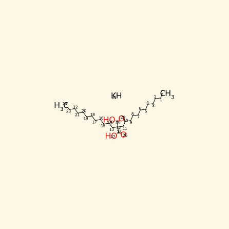 CCCCCCCCCCCCC(CCCCCCCCCCCC)(C(=O)O)C(=O)O.[KH]